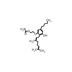 CCCCCc1cc(O)c(CC=C(C)CCC=C(C)C)c(OCCOC(N)=O)c1